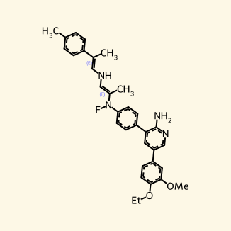 CCOc1ccc(-c2cnc(N)c(-c3ccc(N(F)/C(C)=C/N/C=C(\C)c4ccc(C)cc4)cc3)c2)cc1OC